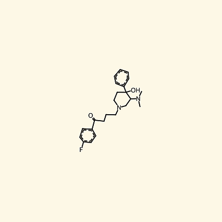 CN(C)C1CN(CCCC(=O)c2ccc(F)cc2)CCC1(O)c1ccccc1